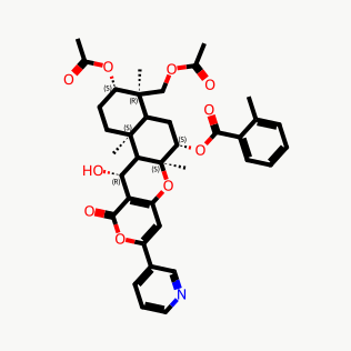 CC(=O)OC[C@@]1(C)C2C[C@H](OC(=O)c3ccccc3C)[C@@]3(C)Oc4cc(-c5cccnc5)oc(=O)c4[C@H](O)C3[C@@]2(C)CC[C@@H]1OC(C)=O